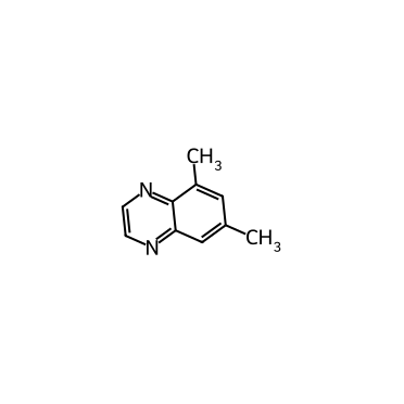 Cc1cc(C)c2nccnc2c1